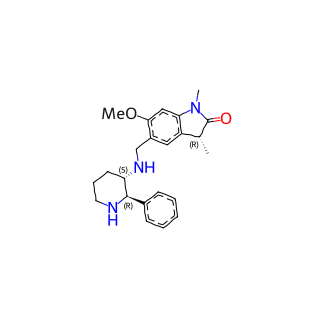 COc1cc2c(cc1CN[C@H]1CCCN[C@@H]1c1ccccc1)[C@@H](C)C(=O)N2C